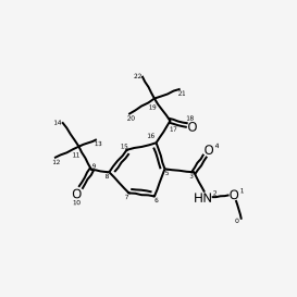 CONC(=O)c1ccc(C(=O)C(C)(C)C)cc1C(=O)C(C)(C)C